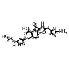 Nc1nc(CC(=O)NC2C(=O)N3C(C(=O)O)=C(CSc4nnc(NCCO)s4)CS[C@H]23)cs1